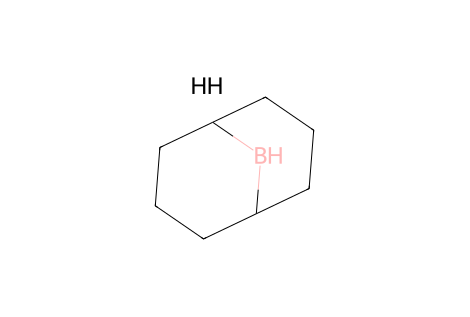 B1C2CCCC1CCC2.[HH]